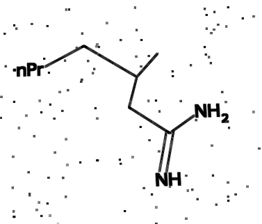 CC[CH]CC(C)CC(=N)N